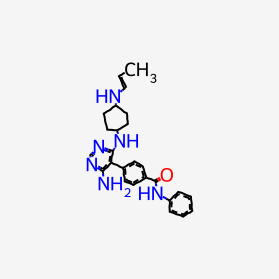 CC=CNC1CCC(Nc2ncnc(N)c2-c2ccc(C(=O)Nc3ccccc3)cc2)CC1